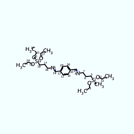 CCO[Si](C)(CCC/N=C/c1ccc(/C=N/CCC[Si](OCC)(OCC)OCC)cc1)OCC